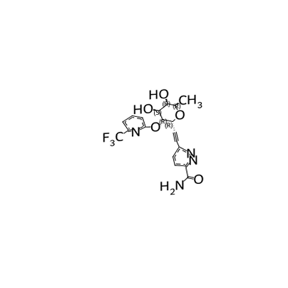 C[C@H]1O[C@H](C#Cc2ccc(C(N)=O)nn2)[C@H](Oc2cccc(C(F)(F)F)n2)[C@@H](O)[C@H]1O